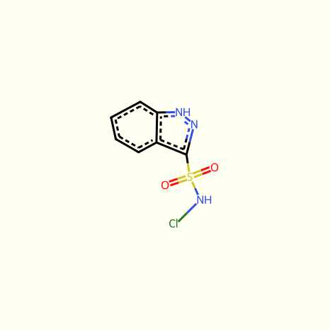 O=S(=O)(NCl)c1n[nH]c2ccccc12